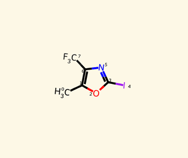 Cc1oc(I)nc1C(F)(F)F